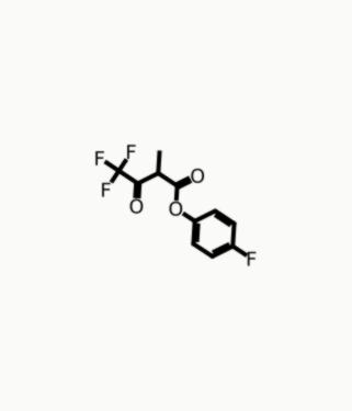 CC(C(=O)Oc1ccc(F)cc1)C(=O)C(F)(F)F